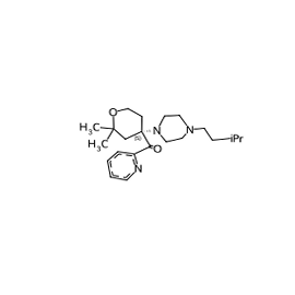 CC(C)CCN1CCN([C@@]2(C(=O)c3ccccn3)CCOC(C)(C)C2)CC1